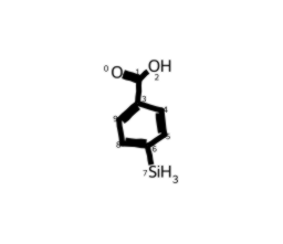 O=C(O)c1ccc([SiH3])cc1